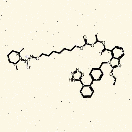 CCOc1nc2cccc(C(=O)OC(C)OC(=O)OCCCCCCCO/N=[N+](\[O-])N3[C@H](C)CCC[C@@H]3C)c2n1Cc1ccc(C2=CC=CCC2c2nnn[nH]2)cc1